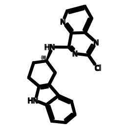 Clc1nc(N[C@@H]2CCc3[nH]c4ccccc4c3C2)c2ncccc2n1